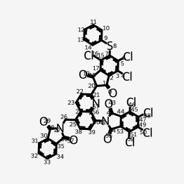 O=C1c2c(Cl)c(Cl)c(Sc3ccccc3)c(Cl)c2C(=O)C1c1ccc2c(CN3C(=O)c4ccccc4C3=O)ccc(N3C(=O)c4c(Cl)c(Cl)c(Cl)c(Cl)c4C3=O)c2n1